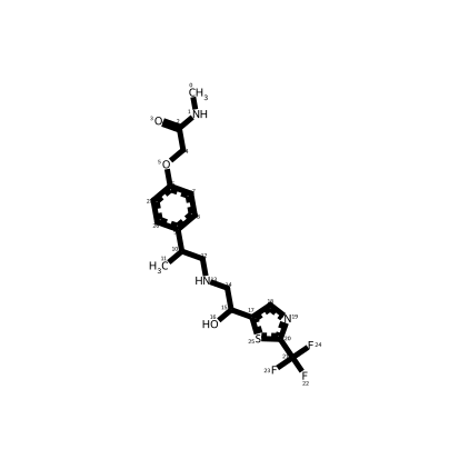 CNC(=O)COc1ccc(C(C)CNCC(O)c2cnc(C(F)(F)F)s2)cc1